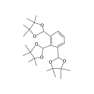 CC1(C)OC(c2cccc(C3OC(C)(C)C(C)(C)O3)c2C2OC(C)(C)C(C)(C)O2)OC1(C)C